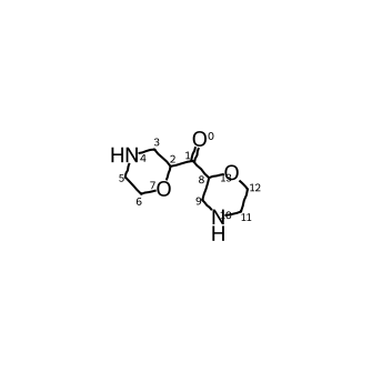 O=C(C1CNCCO1)C1CNCCO1